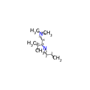 C=C\C=C/N=C(/C=C/N(C)C)C(C)C